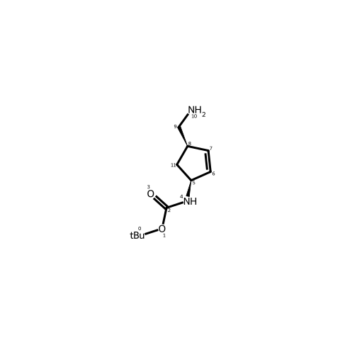 CC(C)(C)OC(=O)N[C@@H]1C=C[C@H](CN)C1